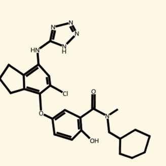 CN(CC1CCCCC1)C(=O)c1cc(Oc2c(Cl)cc(Nc3nnn[nH]3)c3c2CCC3)ccc1O